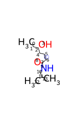 CCC(O)C/C=C\C(=O)NCC(C)C